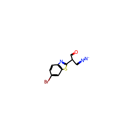 [N-]=[N+]=CC(C=O)c1nc2ccc(Br)cc2s1